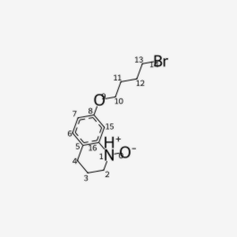 [O-][NH+]1CCCc2ccc(OCCCCBr)cc21